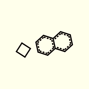 C1CCC1.c1ccc2ccccc2c1